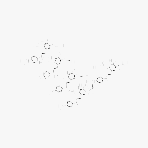 C=CC(C)(C)c1cc(C=CC(=O)c2ccc(N)cc2)c(OC(C)C)cc1O.C=CCc1cc(C=CC(=O)c2ccc(N)cc2)c(OC(C)C)cc1O.CC=CCc1cc(C=CC(=O)c2ccc(N)cc2)c(OC(C)C)cc1O.CCC(C)(C)c1cc(C=CC(=O)c2ccc(N)cc2)c(OC(C)C)cc1O.CCCc1cc(C=CC(=O)c2ccc(N)cc2)c(OC(C)C)cc1O